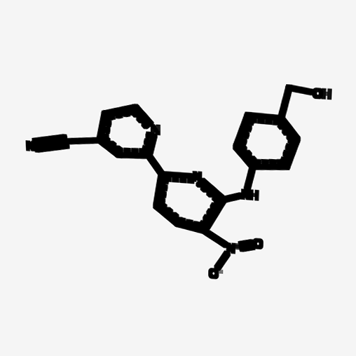 N#Cc1ccnc(-c2ccc([N+](=O)[O-])c(Nc3ccc(CO)cc3)n2)c1